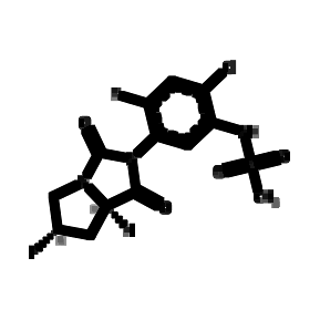 CS(=O)(=O)Nc1cc(N2C(=O)[C@H]3C[C@H](F)CN3C2=O)c(F)cc1Cl